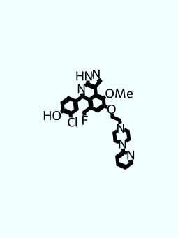 COc1c(OCCN2CCN(c3ccccn3)CC2)cc(CF)c2c(-c3ccc(O)c(Cl)c3)nc3[nH]ncc3c12